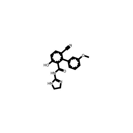 COc1cccc(-c2c(C#N)ccc(O)c2C(=O)NC2=NCCN2)c1